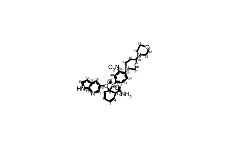 NC(=O)C1C=CC=CC1(Oc1cnc2[nH]ccc2c1)S(=O)(=O)c1ccc(N2CCC(N3CCOCC3)CC2)c([N+](=O)[O-])c1